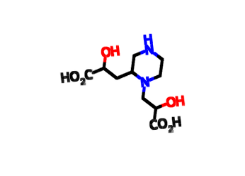 O=C(O)C(O)CC1CNCCN1CC(O)C(=O)O